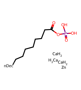 CCCCCCCCCCCCCCCCCC(=O)OP(=O)(O)O.[CaH2].[CaH2].[CaH2].[Zn]